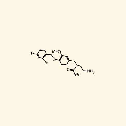 CCCC(=O)N(CCN)Cc1ccc(OCc2ccc(F)cc2F)c(OC)c1